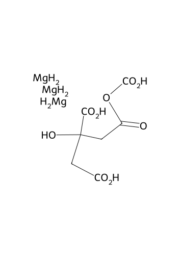 O=C(O)CC(O)(CC(=O)OC(=O)O)C(=O)O.[MgH2].[MgH2].[MgH2]